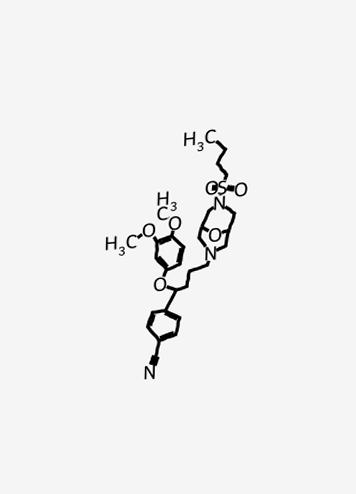 CCCCS(=O)(=O)N1CC2CN(CCCC(Oc3ccc(OC)c(OC)c3)c3ccc(C#N)cc3)CC(C1)O2